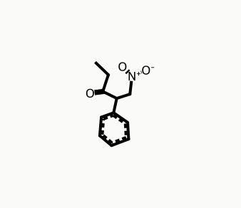 CCC(=O)C(C[N+](=O)[O-])c1ccccc1